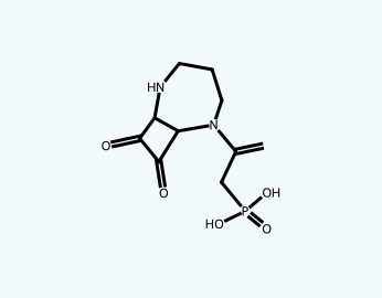 C=C(CP(=O)(O)O)N1CCCNC2C(=O)C(=O)C21